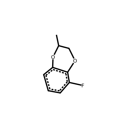 CC1COc2c(F)cccc2O1